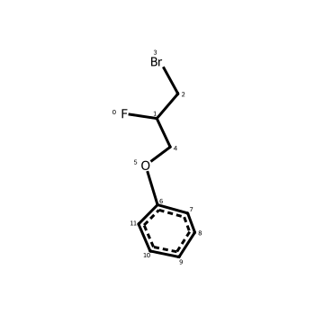 FC(CBr)COc1ccccc1